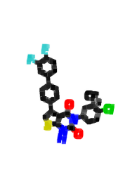 O=c1[nH]c2scc(-c3ccc(-c4ccc(F)c(F)c4)cc3)c2c(=O)n1-c1ccc(Cl)c(C(F)(F)F)c1